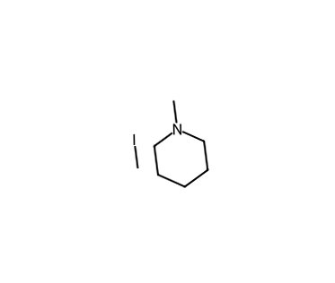 CI.CN1CCCCC1